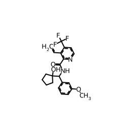 C=Cc1c(C(F)(F)F)ccnc1C(=O)NC(c1cccc(OC)c1)C1(O)CCCC1